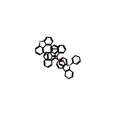 C1=CC(n2c3c(c4ccc(-c5c6ccccc6c(-c6cccc7oc8cccc(-c9c%10ccccc%10c(-c%10ccccc%10)c%10ccccc9%10)c8c67)c6ccccc56)cc42)CCC=C3)=CCC1